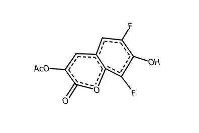 CC(=O)Oc1cc2cc(F)c(O)c(F)c2oc1=O